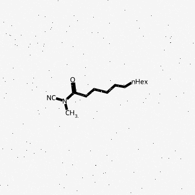 CCCCCCCCCCCC(=O)N(C)C#N